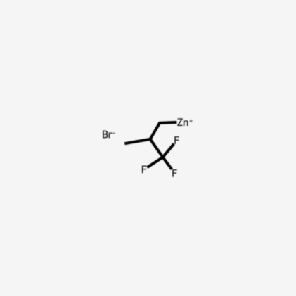 CC([CH2][Zn+])C(F)(F)F.[Br-]